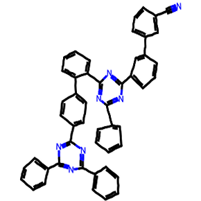 N#Cc1cccc(-c2cccc(-c3nc(-c4ccccc4)nc(-c4ccccc4-c4ccc(-c5nc(-c6ccccc6)nc(-c6ccccc6)n5)cc4)n3)c2)c1